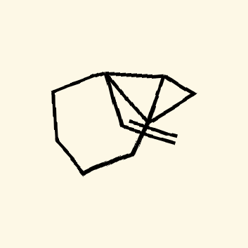 C=CC12CCCCC13CC23